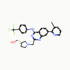 Cc1cccnc1-c1ccc2c(Nc3ccc(C(F)(F)F)cc3)nc(CN3CC[C@H](CO)C3)nc2c1